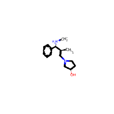 [CH2-][NH2+][C@@H](c1ccccc1)[C@@H](C)CN1CC[C@H](O)C1